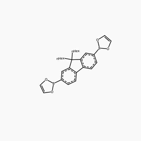 CCCCCCC1(CCCCCC)c2cc(B3OC=CO3)ccc2-c2ccc(B3OC=CO3)cc21